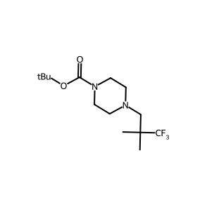 CC(C)(C)OC(=O)N1CCN(CC(C)(C)C(F)(F)F)CC1